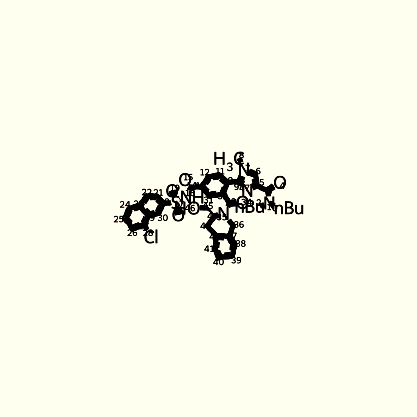 CCCCN(CCCC)C(=O)c1cn(C)c(-c2ccc(C(=O)NS(=O)(=O)c3ccc4cccc(Cl)c4c3)cc2C(=O)N2Cc3ccccc3C[C@H]2CO)n1